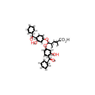 CC(=CC(C)C(Oc1ccc(C(=O)c2ccccc2)c(O)c1)Oc1ccc(C(=O)c2ccccc2)c(O)c1)C(=O)O